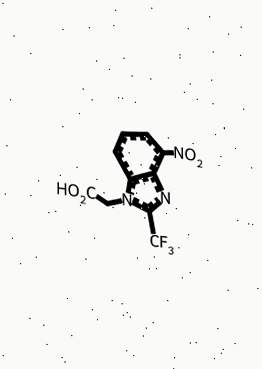 O=C(O)Cn1c(C(F)(F)F)nc2c([N+](=O)[O-])cccc21